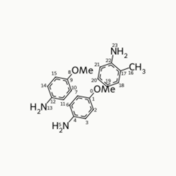 COc1ccc(N)cc1.COc1ccc(N)cc1.Cc1ccccc1N